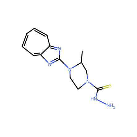 CC1CN(C(=S)NN)CCN1c1nc2cccccc-2n1